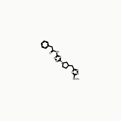 CC(=O)Nc1nnc(CC2CC[C@@H](c3nnc(NC(=O)Cc4ccccc4)s3)C2)s1